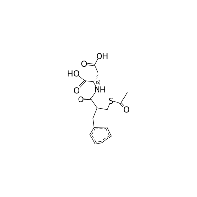 CC(=O)SCC(Cc1ccccc1)C(=O)N[C@@H](CC(=O)O)C(=O)O